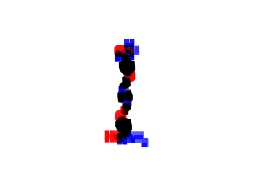 N/C(=N\O)c1ccc(OCCCN2CCN(CCCOc3ccc(/C(N)=N\O)cc3)CC2)cc1